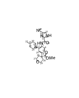 COC(=O)C1(c2ccc(NC(=O)c3nc(C#N)c[nH]3)c(N3CCC(C)CC3)c2)CCOCC1